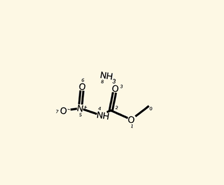 COC(=O)N[N+](=O)[O-].N